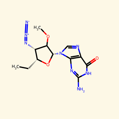 CC[C@H]1O[C@@H](n2cnc3c(=O)[nH]c(N)nc32)C(OC)[C@H]1N=[N+]=[N-]